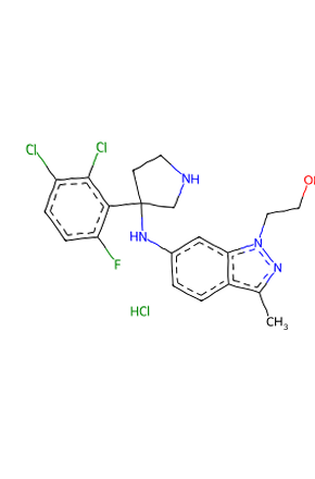 Cc1nn(CCO)c2cc(NC3(c4c(F)ccc(Cl)c4Cl)CCNC3)ccc12.Cl